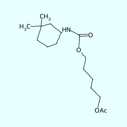 CC(=O)OCCCCCOC(=O)NC1CCCC(C)(C)C1